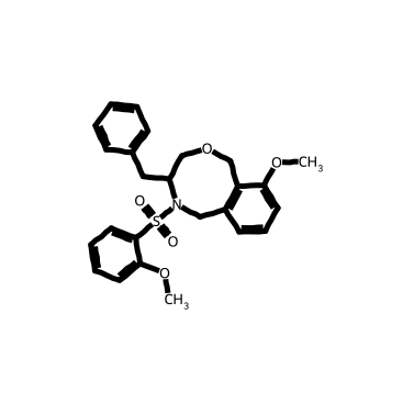 COc1ccccc1S(=O)(=O)N1Cc2cccc(OC)c2COCC1Cc1ccccc1